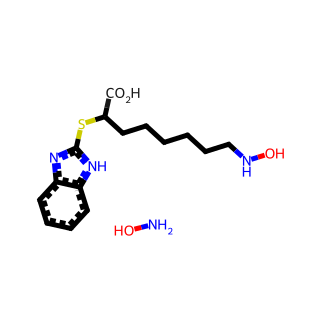 NO.O=C(O)C(CCCCCCNO)Sc1nc2ccccc2[nH]1